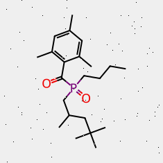 CCCCP(=O)(CC(C)CC(C)(C)C)C(=O)c1c(C)cc(C)cc1C